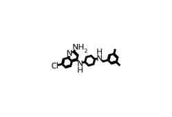 Cc1cc(C)cc(CNC2CCC(Nc3cc(N)nc4cc(Cl)ccc34)CC2)c1